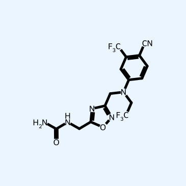 N#Cc1ccc(N(Cc2noc(CNC(N)=O)n2)CC(F)(F)F)cc1C(F)(F)F